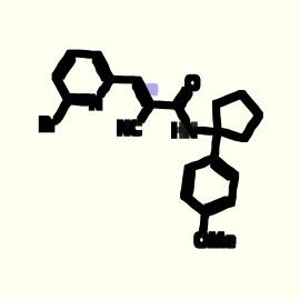 COc1ccc(C2(NC(=O)/C(C#N)=C/c3cccc(Br)n3)CCCC2)cc1